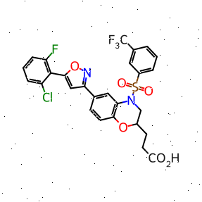 O=C(O)CCC1CN(S(=O)(=O)c2cccc(C(F)(F)F)c2)c2cc(-c3cc(-c4c(F)cccc4Cl)on3)ccc2O1